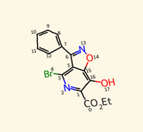 CCOC(=O)c1nc(Br)c2c(-c3ccccc3)noc2c1O